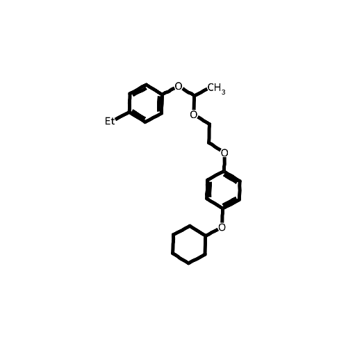 CCc1ccc(OC(C)OCCOc2ccc(OC3CCCCC3)cc2)cc1